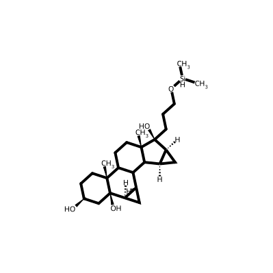 C[SiH](C)OCCC[C@]1(O)[C@H]2C[C@H]2C2C3C(CC[C@@]21C)[C@@]1(C)CC[C@H](O)C[C@@]1(O)[C@@H]1C[C@H]31